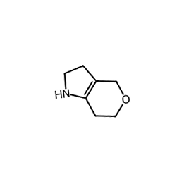 C1CC2=C(CCOC2)N1